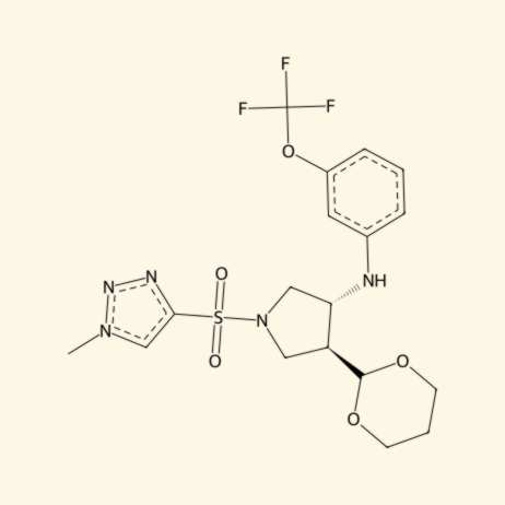 Cn1cc(S(=O)(=O)N2C[C@H](Nc3cccc(OC(F)(F)F)c3)[C@@H](C3OCCCO3)C2)nn1